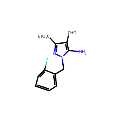 CCOC(=O)c1nn(Cc2ccccc2F)c(N)c1C=O